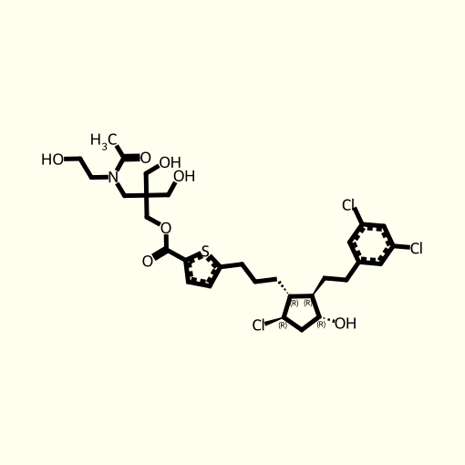 CC(=O)N(CCO)CC(CO)(CO)COC(=O)c1ccc(CCC[C@@H]2[C@@H](CCc3cc(Cl)cc(Cl)c3)[C@H](O)C[C@H]2Cl)s1